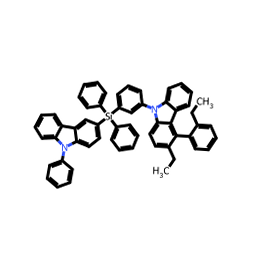 CCc1ccccc1-c1c(CC)ccc2c1c1ccccc1n2-c1cccc([Si](c2ccccc2)(c2ccccc2)c2ccc3c(c2)c2ccccc2n3-c2ccccc2)c1